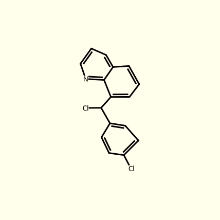 Clc1ccc(C(Cl)c2cccc3cccnc23)cc1